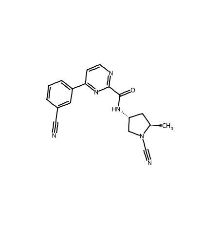 C[C@@H]1C[C@@H](NC(=O)c2nccc(-c3cccc(C#N)c3)n2)CN1C#N